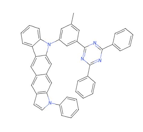 Cc1cc(-c2nc(-c3ccccc3)nc(-c3ccccc3)n2)cc(-n2c3ccccc3c3cc4cc5ccn(-c6ccccc6)c5cc4cc32)c1